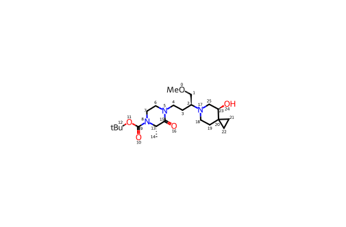 COC[C@H](CCN1CCN(C(=O)OC(C)(C)C)[C@@H](C)C1=O)N1CCC2(CC2)[C@H](O)C1